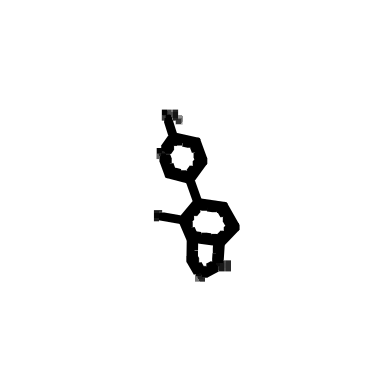 Nc1ccc(-c2ccc3[nH]ncc3c2F)cn1